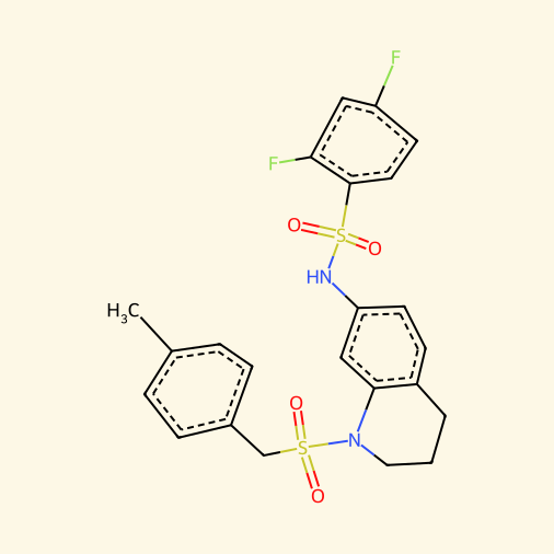 Cc1ccc(CS(=O)(=O)N2CCCc3ccc(NS(=O)(=O)c4ccc(F)cc4F)cc32)cc1